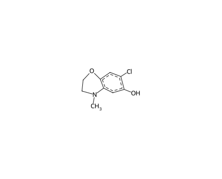 CN1CCOc2cc(Cl)c(O)cc21